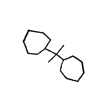 CC(C)(C1CCCCCC1)C1CCCCCC1